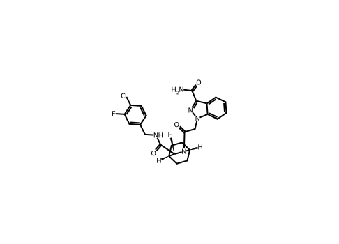 NC(=O)c1nn(CC(=O)N2[C@H]3CC[C@H](CC3)[C@@H]2C(=O)NCc2ccc(Cl)c(F)c2)c2ccccc12